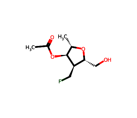 CC(=O)O[C@@H]1[C@H](CF)[C@@H](CO)O[C@H]1C